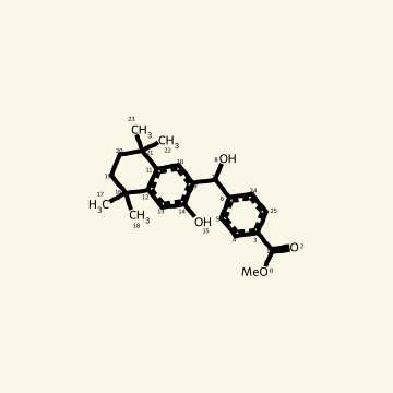 COC(=O)c1ccc(C(O)c2cc3c(cc2O)C(C)(C)CCC3(C)C)cc1